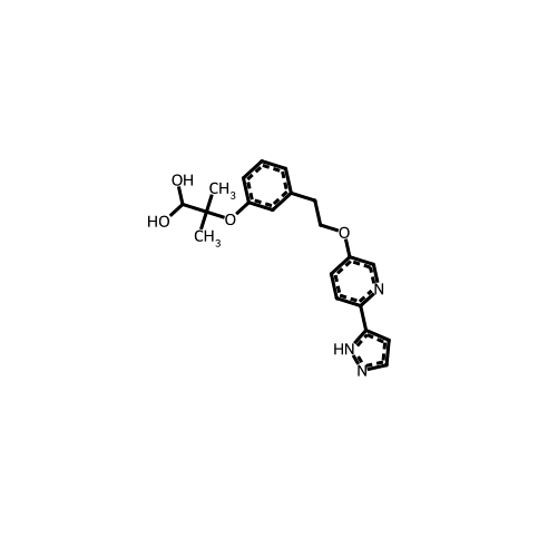 CC(C)(Oc1cccc(CCOc2ccc(-c3ccn[nH]3)nc2)c1)C(O)O